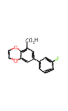 O=C(O)c1cc(-c2cccc(F)c2)cc2c1OCCO2